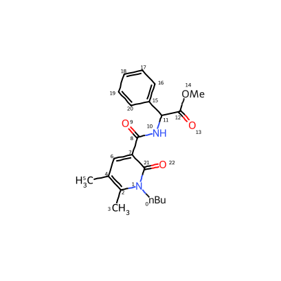 CCCCn1c(C)c(C)cc(C(=O)NC(C(=O)OC)c2ccccc2)c1=O